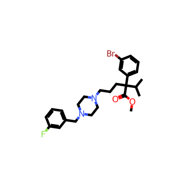 COC(=O)C(CCCN1CCN(Cc2cccc(F)c2)CC1)(c1cccc(Br)c1)C(C)C